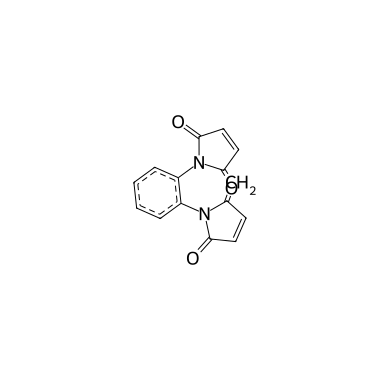 C=C1C=CC(=O)N1c1ccccc1N1C(=O)C=CC1=O